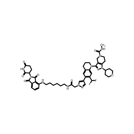 CNC(=O)N1CCc2c(c(N3CCCc4cc(-c5cnn(CC(=O)NCCCCCCNc6cccc7c6C(=O)N(C6CCC(=O)NC6=O)C7=O)c5)c(C(F)F)cc43)nn2C2CCOCC2)C1